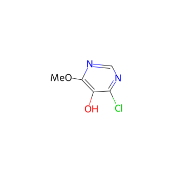 COc1ncnc(Cl)c1O